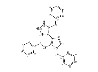 c1ccc(CSc2c(C3=NNNN3Cc3ccccc3)cnn2Cc2ccccc2)cc1